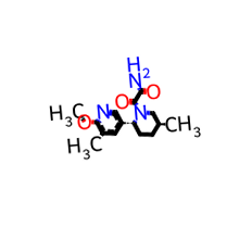 COc1ncc([C@H]2CC[C@H](C)CN2C(=O)C(N)=O)cc1C